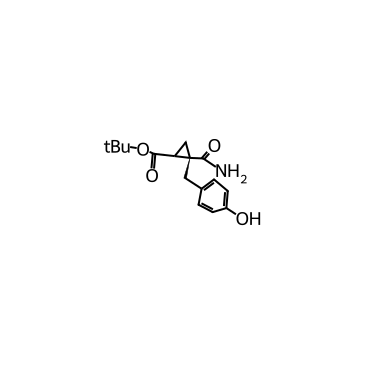 CC(C)(C)OC(=O)C1C[C@]1(Cc1ccc(O)cc1)C(N)=O